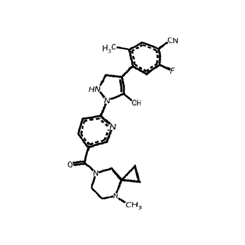 Cc1cc(C#N)c(F)cc1C1=C(O)N(c2ccc(C(=O)N3CCN(C)C4(CC4)C3)cn2)NC1